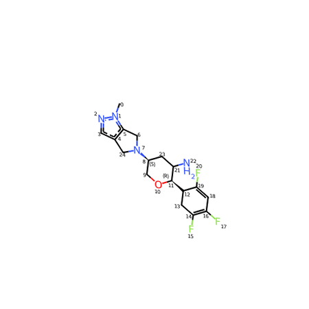 Cn1ncc2c1CN([C@@H]1CO[C@H](C3CC(F)=C(F)C=C3F)C(N)C1)C2